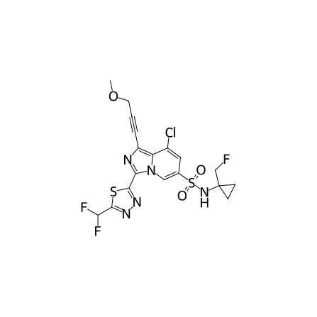 COCC#Cc1nc(-c2nnc(C(F)F)s2)n2cc(S(=O)(=O)NC3(CF)CC3)cc(Cl)c12